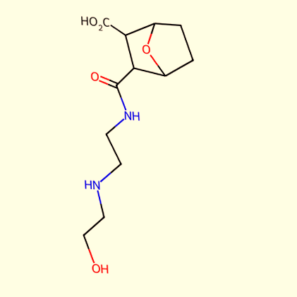 O=C(O)C1C2CCC(O2)C1C(=O)NCCNCCO